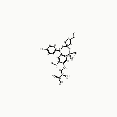 CCCCC1(CC)CN(c2ccc(F)cc2)c2cc(SC)c(OCC(O)C(=O)O)cc2S(O)(O)C1